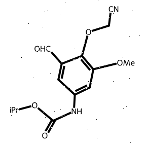 COc1cc(NC(=O)OC(C)C)cc(C=O)c1OCC#N